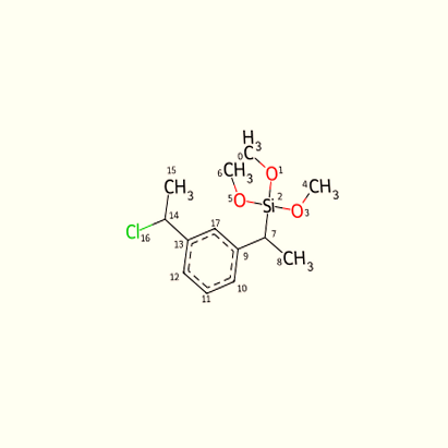 CO[Si](OC)(OC)C(C)c1cccc(C(C)Cl)c1